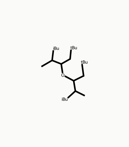 CCC(C)C(C)C(CC(C)(C)C)OC(CC(C)(C)C)C(C)C(C)CC